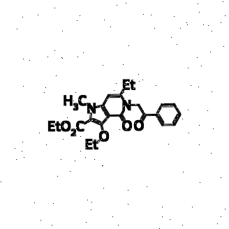 CCOC(=O)c1c(OCC)c2c(=O)n(CC(=O)c3ccccc3)c(CC)cc2n1C